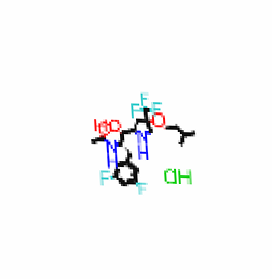 CC(=O)N[C@@H](Cc1cc(F)cc(F)c1)[C@@H](O)[C@H]1C[C@](OCCC(C)C)(C(F)(F)F)CN1.Cl